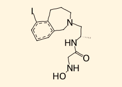 C[C@@H](CN1CCCc2c(I)cccc2C1)NC(=O)CNO